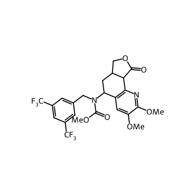 COC(=O)N(Cc1cc(C(F)(F)F)cc(C(F)(F)F)c1)C1CC2COC(=O)C2c2nc(OC)c(OC)cc21